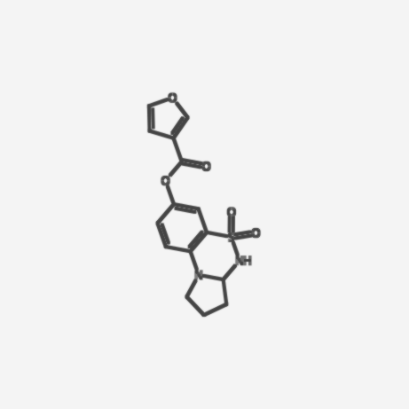 O=C(Oc1ccc2c(c1)S(=O)(=O)NC1CCCN21)c1ccoc1